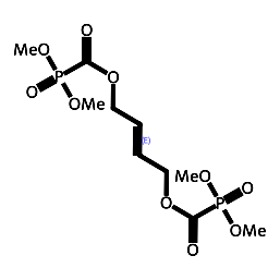 COP(=O)(OC)C(=O)OC/C=C/COC(=O)P(=O)(OC)OC